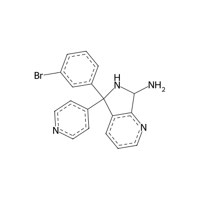 NC1NC(c2ccncc2)(c2cccc(Br)c2)c2cccnc21